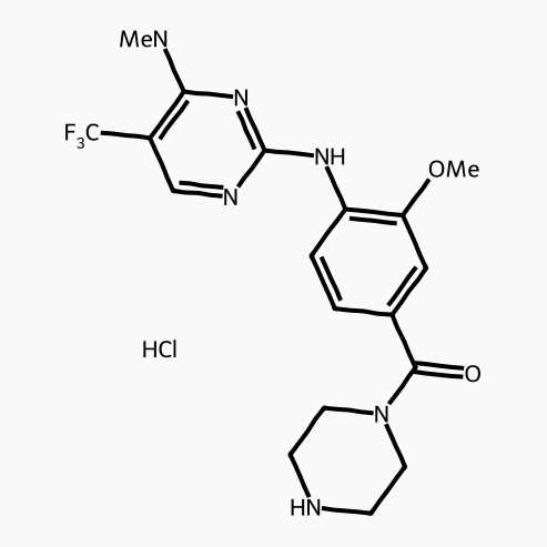 CNc1nc(Nc2ccc(C(=O)N3CCNCC3)cc2OC)ncc1C(F)(F)F.Cl